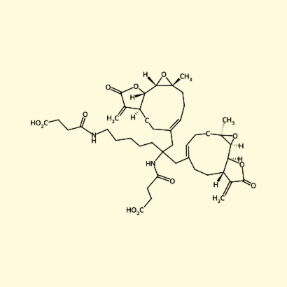 C=C1C(=O)O[C@H]2[C@H]1CC/C(CC(CCCCCNC(=O)CCC(=O)O)(C/C1=C/CC[C@@]3(C)O[C@H]3[C@H]3OC(=O)C(=C)[C@@H]3CC1)NC(=O)CCC(=O)O)=C\CC[C@@]1(C)O[C@@H]21